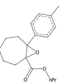 CCCOC(=O)C12CCCCCC1(c1ccc(C)cc1)O2